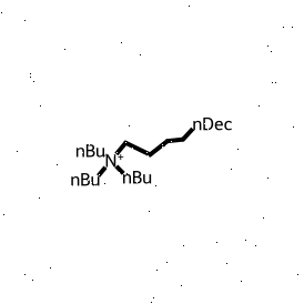 CCCCCCCCCCCCCC[N+](CCCC)(CCCC)CCCC